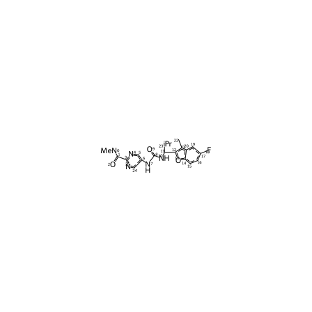 CNC(=O)c1ncc(NC(=O)NC(c2oc3ccc(F)cc3c2C)C(C)C)cn1